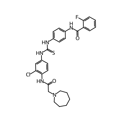 O=C(CN1CCCCCC1)Nc1ccc(NC(=S)Nc2ccc(NC(=O)c3ccccc3F)cc2)cc1Cl